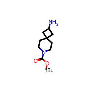 CCCCOC(=O)N1CCC2(CC1)CC(N)C2